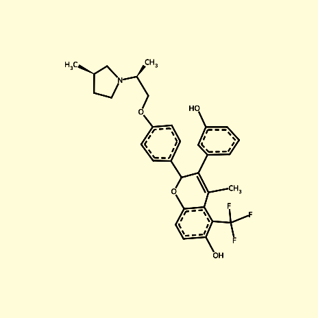 CC1=C(c2cccc(O)c2)C(c2ccc(OC[C@H](C)N3CC[C@@H](C)C3)cc2)Oc2ccc(O)c(C(F)(F)F)c21